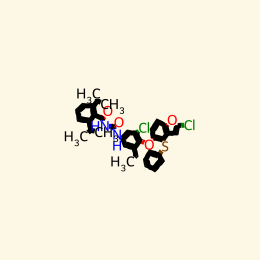 CCc1cc(NC(=O)NC(=O)c2c(C(C)C)cccc2C(C)C)cc(Cl)c1Oc1ccc2oc(Cl)cc2c1Sc1ccccc1